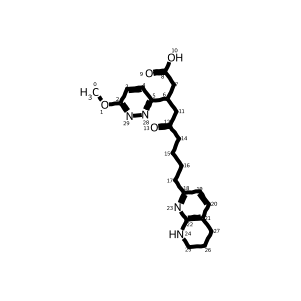 COc1ccc(C(CC(=O)O)CC(=O)CCCCc2ccc3c(n2)NCCC3)nn1